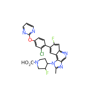 Cc1nc2cnc3cc(F)c(-c4ccc(Oc5ncccn5)cc4Cl)cc3c2n1C1CCN(C(=O)O)CC1F